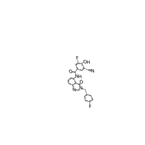 N#Cc1cc(C(=O)Nc2cccc3ncn(Cc4ccc(F)cc4)c(=O)c23)cc(F)c1O